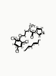 C/C=C/C=C/C.CCCN(CCOc1c(Cl)cc(Cl)cc1Cl)C(=O)n1ccnc1